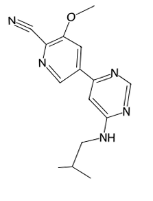 COc1cc(-c2cc(NCC(C)C)ncn2)cnc1C#N